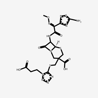 CON=C(C(=O)NC1C(=O)N2CC(CSc3nnnn3CCC(=O)O)(C(=O)O)CS[C@H]12)c1nsc(N)n1